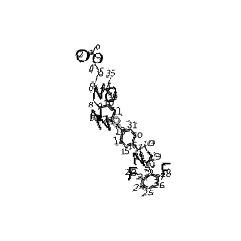 CC(=O)OCCCN(Cc1ccc(-c2ccc(C3CCC(c4c(F)cccc4F)=N3)cc2)nn1)C(C)=O